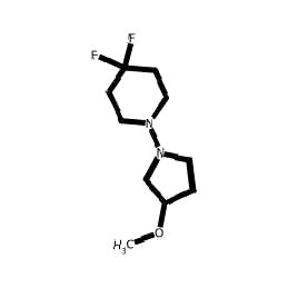 COC1CCN(N2CCC(F)(F)CC2)C1